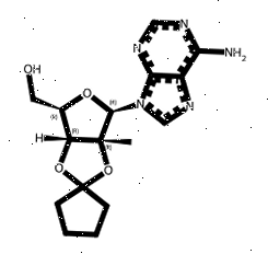 C[C@@]12OC3(CCCC3)O[C@@H]1[C@@H](CO)O[C@H]2n1cnc2c(N)ncnc21